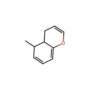 CC1C=CC=C2OC=CCC21